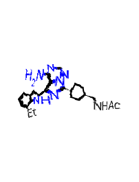 CCc1cccc2cc(-c3nc([C@H]4CC[C@H](CNC(C)=O)CC4)n4ncnc(N)c34)[nH]c12